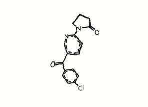 O=C(c1ccc(Cl)cc1)c1ccc(N2CCCC2=O)nc1